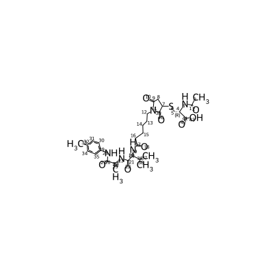 CC(=O)N[C@@H](CSC1CC(=O)N(CCCCCC(=O)N[C@H](C(=O)N[C@@H](C)C(=O)Nc2ccc(C)cc2)C(C)C)C1=O)C(=O)O